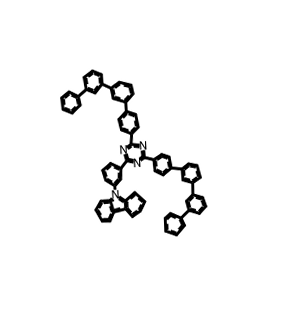 c1ccc(-c2cccc(-c3cccc(-c4ccc(-c5nc(-c6ccc(-c7cccc(-c8cccc(-c9ccccc9)c8)c7)cc6)nc(-c6cccc(-n7c8ccccc8c8ccccc87)c6)n5)cc4)c3)c2)cc1